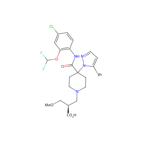 COC[C@@H](CN1CCC(C(=O)Nc2ccc(Cl)cc2OC(F)F)(n2nccc2C(C)C)CC1)C(=O)O